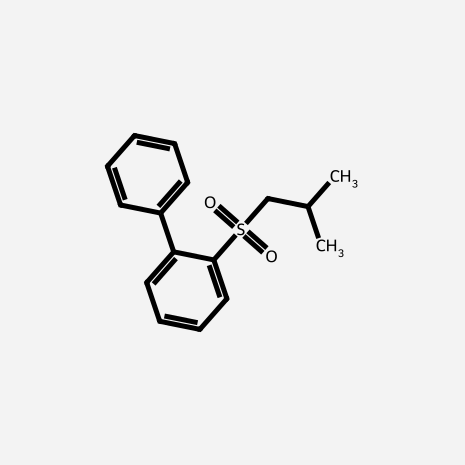 CC(C)CS(=O)(=O)c1ccccc1-c1ccccc1